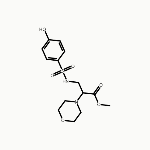 COC(=O)C(CNS(=O)(=O)c1ccc(O)cc1)N1CCOCC1